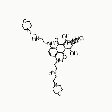 Cl.Cl.Cl.Cl.O=C1c2c(O)ccc(O)c2C(=O)c2c(NCCNCCN3CCOCC3)ccc(NCCNCCN3CCOCC3)c21